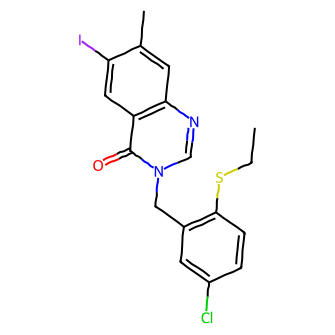 CCSc1ccc(Cl)cc1Cn1cnc2cc(C)c(I)cc2c1=O